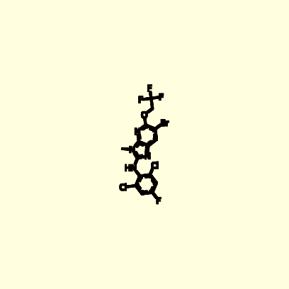 Cn1c(Nc2c(Cl)cc(F)cc2Cl)nc2cc(Br)c(OCC(F)(F)F)nc21